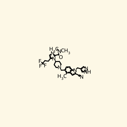 Cc1c(CN2CCC(n3c(CCC(F)(F)F)cnc3C(=O)N(C)C)CC2)ccc2c1cc(C#N)n2Cc1cn[nH]c1